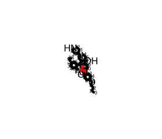 CCCCOc1ccc(S(=O)(=O)c2cc(C3CN(C4CCNCC4)CCC3(O)c3ccccc3)c3cc(SC)ccc3n2)cc1